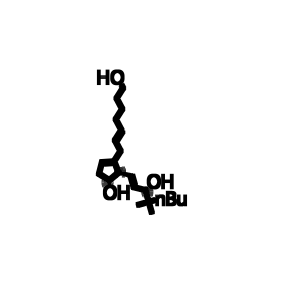 CCCCC(C)(C)[C@H](O)C=C[C@@H]1C(CC=CCCCCO)=CC[C@H]1O